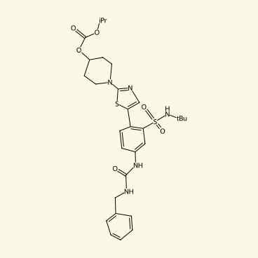 CC(C)OC(=O)OC1CCN(c2ncc(-c3ccc(NC(=O)NCc4ccccc4)cc3S(=O)(=O)NC(C)(C)C)s2)CC1